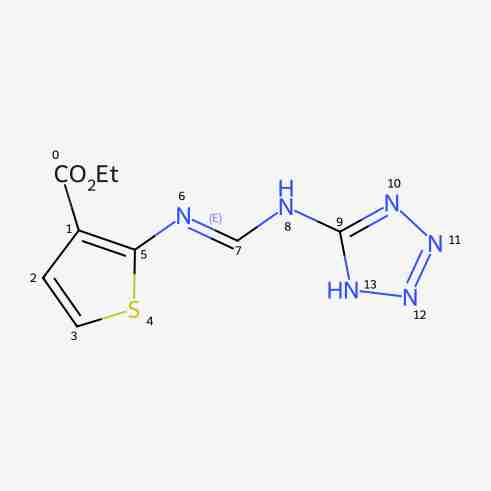 CCOC(=O)c1ccsc1/N=C/Nc1nnn[nH]1